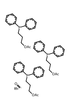 CC(=O)OCCCP(c1ccccc1)c1ccccc1.CC(=O)OCCCP(c1ccccc1)c1ccccc1.CC(=O)OCCCP(c1ccccc1)c1ccccc1.[C]=O.[Rh]